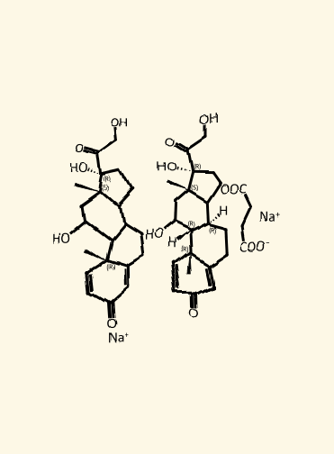 C[C@]12C=CC(=O)C=C1CCC1C2C(O)C[C@@]2(C)C1CC[C@]2(O)C(=O)CO.C[C@]12C=CC(=O)C=C1CC[C@@H]1C3CC[C@](O)(C(=O)CO)[C@@]3(C)CC(O)[C@H]12.O=C([O-])CCC(=O)[O-].[Na+].[Na+]